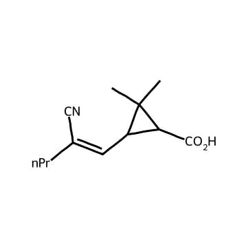 CCCC(C#N)=CC1C(C(=O)O)C1(C)C